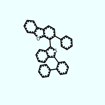 c1ccc(-c2ccccc2-c2sc(-c3c(-c4ccccc4)ccc4c3oc3ccccc34)c3ccccc23)cc1